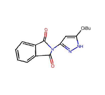 CC(C)COc1cc(N2C(=O)c3ccccc3C2=O)n[nH]1